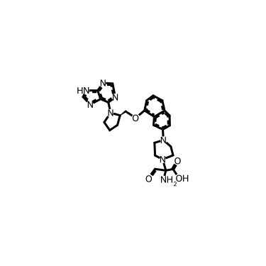 NC(C=O)(C(=O)O)N1CCN(c2ccc3cccc(OC[C@H]4CCCN4c4ncnc5[nH]cnc45)c3c2)CC1